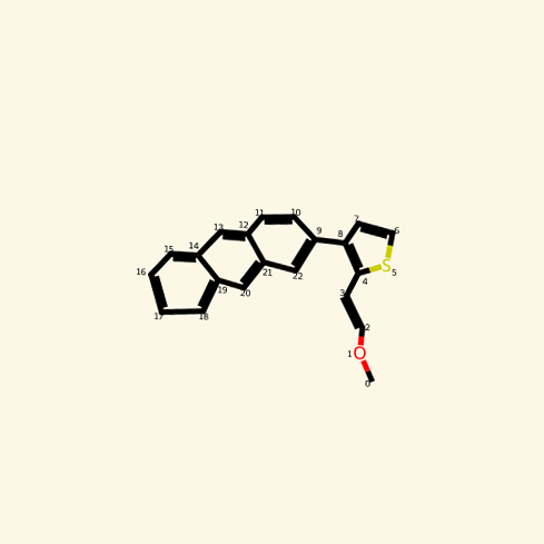 COC=Cc1sccc1-c1ccc2cc3ccccc3cc2c1